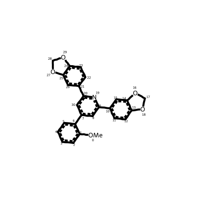 COc1ccccc1-c1cc(-c2ccc3c(c2)OCO3)nc(-c2ccc3c(c2)OCO3)c1